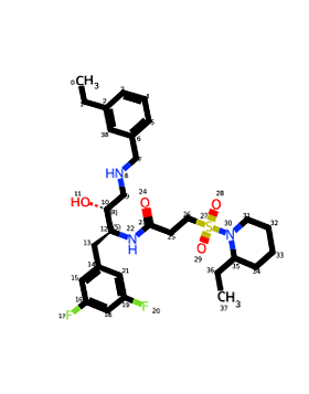 CCc1cccc(CNC[C@@H](O)[C@H](Cc2cc(F)cc(F)c2)NC(=O)CCS(=O)(=O)N2CCCCC2CC)c1